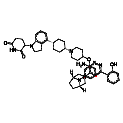 Nc1nnc(-c2ccccc2O)cc1N1C[C@H]2CC[C@@H](C1)N2c1cccc(OC2CCN([C@H]3CC[C@@H](c4cccc5c4CCN5C4CCC(=O)NC4=O)CC3)CC2)c1